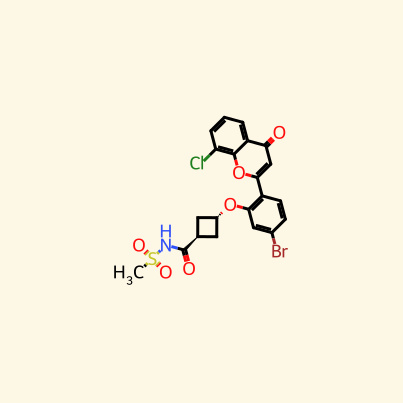 CS(=O)(=O)NC(=O)[C@H]1C[C@H](Oc2cc(Br)ccc2-c2cc(=O)c3cccc(Cl)c3o2)C1